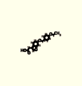 CCOc1ccc(COc2ccc3c(CC(=O)O)coc3c2)cc1